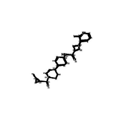 Cc1ncccc1N1CC(C(=O)Nc2ccc(C3CCN(C(=O)C4CC4C)CC3)cc2)C1